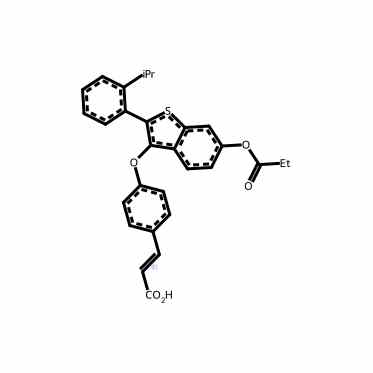 CCC(=O)Oc1ccc2c(Oc3ccc(/C=C/C(=O)O)cc3)c(-c3ccccc3C(C)C)sc2c1